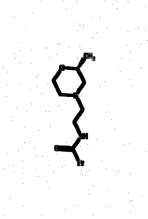 CCC(=O)NCCN1CCO[C@@H](C)C1